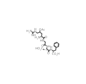 CC(=O)OC(CNC(=N)N)C[C@H](N)C(=O)NCC(=O)N[C@@H](CC(=O)O)C(=O)N[C@@H](Cc1ccccc1)C(=O)O